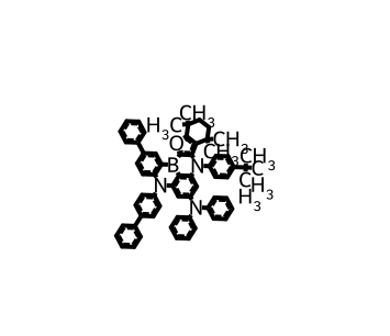 CC(C)(C)c1ccc(N2c3cc(N(c4ccccc4)c4ccccc4)cc4c3B(c3cc(-c5ccccc5)ccc3N4c3ccc(-c4ccccc4)cc3)c3oc4c(c32)C(C)(C)CCC4(C)C)cc1